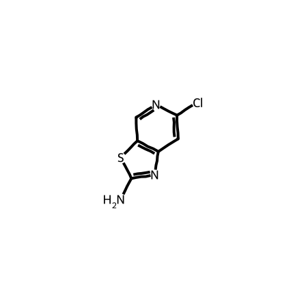 Nc1nc2cc(Cl)ncc2s1